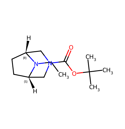 CCN1[C@@H]2CC[C@H]1CN(C(=O)OC(C)(C)C)C2